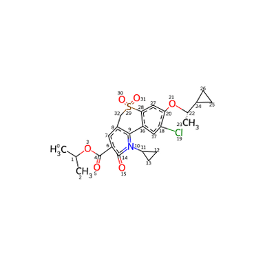 CC(C)OC(=O)c1cc2c(n(C3CC3)c1=O)-c1cc(Cl)c(O[C@@H](C)C3CC3)cc1S(=O)(=O)C2